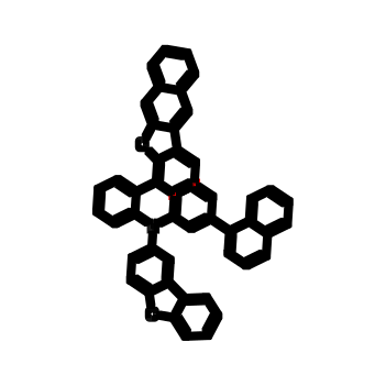 c1cc(-c2cccc3ccccc23)cc(N(c2ccc3oc4ccccc4c3c2)c2ccccc2-c2cccc3c2oc2cc4ccccc4cc23)c1